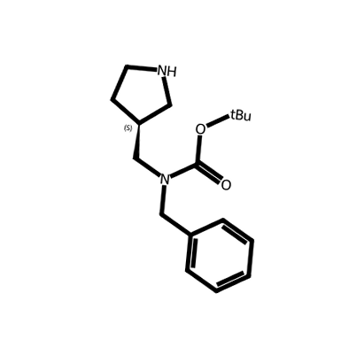 CC(C)(C)OC(=O)N(Cc1ccccc1)C[C@H]1CCNC1